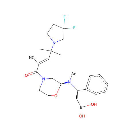 CC(=O)N([C@@H]1CN(C(=O)C(C#N)=CC(C)(C)N2CCC(F)(F)C2)CCO1)[C@H](CB(O)O)c1ccccc1